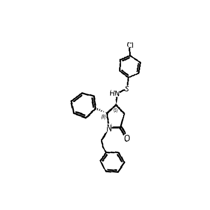 O=C1C[C@H](NSc2ccc(Cl)cc2)[C@@H](c2ccccc2)N1Cc1ccccc1